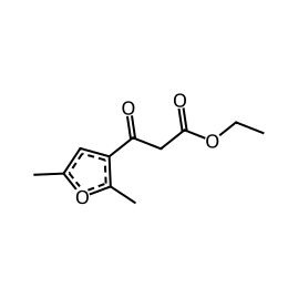 CCOC(=O)CC(=O)c1cc(C)oc1C